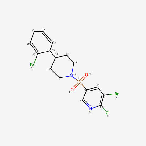 O=S(=O)(c1cnc(Cl)c(Br)c1)N1CCC(C2C=CCC=C2Br)CC1